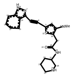 CNc1cc(C#Cc2n[nH]c3ccccc23)sc1CC(=O)NC1CCCNC1